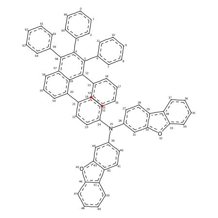 c1ccc(-c2c(-c3ccccc3)c(-c3ccccc3)c3c(-c4ccc(N(c5ccc6c(c5)oc5ccccc56)c5ccc6c(c5)oc5ccccc56)cc4)cccc3c2-c2ccccc2)cc1